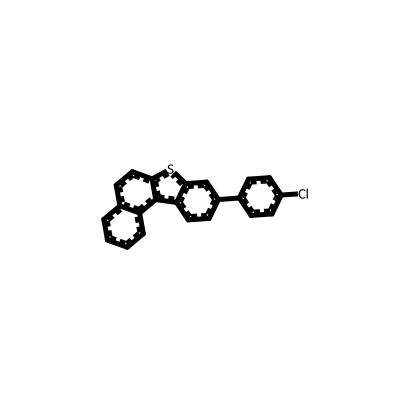 Clc1ccc(-c2ccc3c(c2)sc2ccc4ccccc4c23)cc1